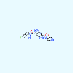 NC(CC(=O)NC1CCc2cc(F)ccc21)c1ccc(C(=O)Nc2ccncc2)cc1